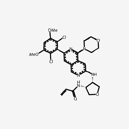 C=CC(=O)N[C@H]1COC[C@H]1Nc1cc2c(N3CCOCC3)nc(-c3c(Cl)c(OC)cc(OC)c3Cl)cc2cn1